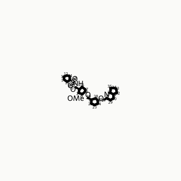 COc1cc(C(=O)NS(=O)(=O)c2ccccc2)ccc1OCc1cccc(OCc2ccc3ccccc3n2)c1